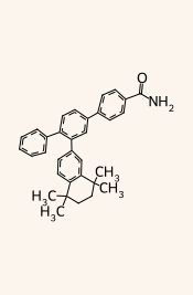 CC1(C)CCC(C)(C)c2cc(-c3cc(-c4ccc(C(N)=O)cc4)ccc3-c3ccccc3)ccc21